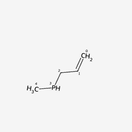 C=CCPC